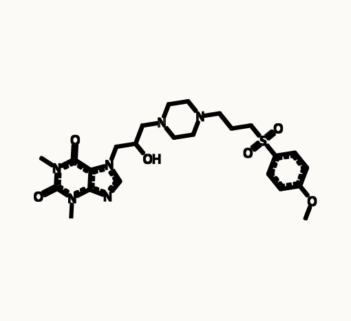 COc1ccc(S(=O)(=O)CCCN2CCN(CC(O)Cn3cnc4c3c(=O)n(C)c(=O)n4C)CC2)cc1